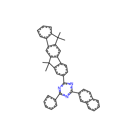 CC1(C)c2ccccc2-c2cc3c(cc21)-c1ccc(-c2nc(-c4ccccc4)nc(-c4ccc5ccccc5c4)n2)cc1C3(C)C